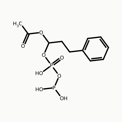 CC(=O)OC(CCc1ccccc1)OP(=O)(O)OP(O)O